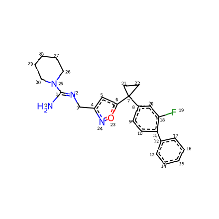 N/C(=N\Cc1cc(C2(c3ccc(-c4ccccc4)c(F)c3)CC2)on1)N1CCCCC1